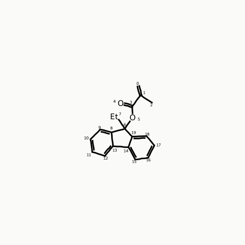 C=C(C)C(=O)OC1(CC)c2ccccc2-c2ccccc21